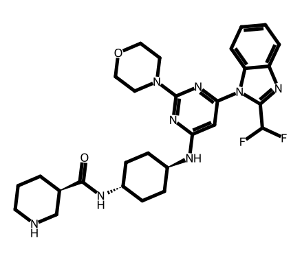 O=C(N[C@H]1CC[C@H](Nc2cc(-n3c(C(F)F)nc4ccccc43)nc(N3CCOCC3)n2)CC1)[C@@H]1CCCNC1